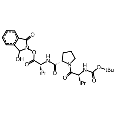 CC(C)[C@H](NC(=O)[C@@H]1CCCN1C(=O)[C@@H](NC(=O)OC(C)(C)C)C(C)C)C(=O)ON1C(=O)c2ccccc2C1O